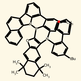 Cc1cc2c3c(c1)N(c1ccc(C(C)(C)C)cc1-c1ccccc1)c1c(oc4cc5c(cc14)C(C)(C)CCC5(C)C)B3n1c3c-2cccc3c2ccc3ccccc3c21